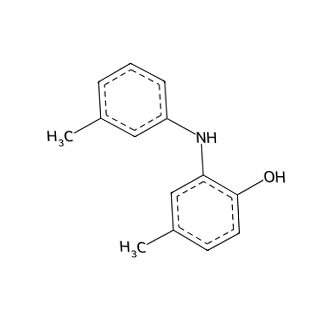 Cc1cccc(Nc2cc(C)ccc2O)c1